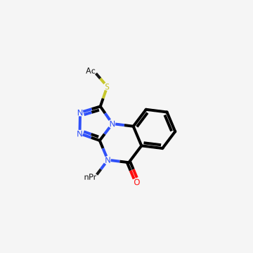 CCCn1c(=O)c2ccccc2n2c(SC(C)=O)nnc12